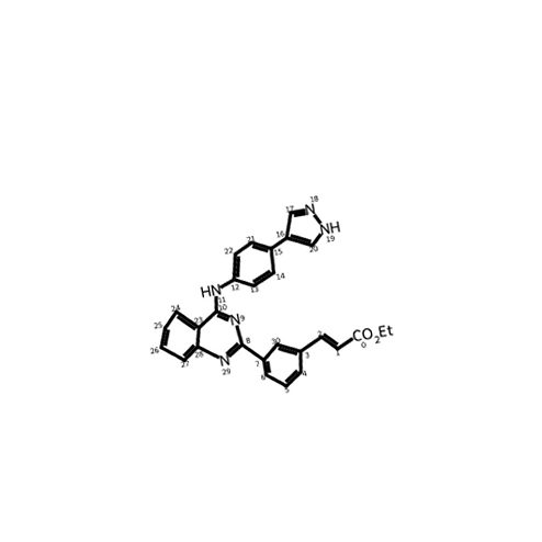 CCOC(=O)C=Cc1cccc(-c2nc(Nc3ccc(-c4cn[nH]c4)cc3)c3ccccc3n2)c1